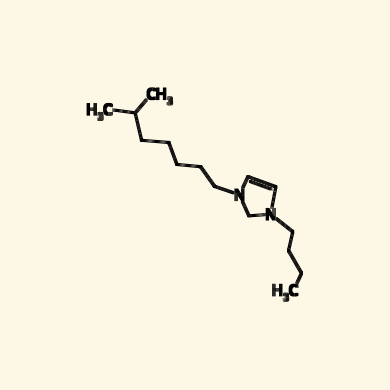 CCCCN1C=CN(CCCCCC(C)C)C1